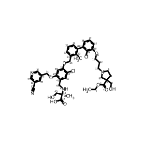 CCOC(=O)C1(CO)CCN(CCCOc2cccc(-c3cccc(COc4cc(OCc5cncc(C#N)c5)c(CN[C@](C)(CO)C(=O)O)cc4Cl)c3C)c2Cl)C1